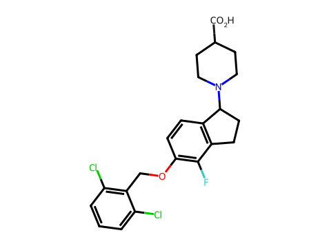 O=C(O)C1CCN(C2CCc3c2ccc(OCc2c(Cl)cccc2Cl)c3F)CC1